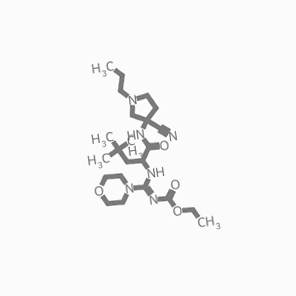 CCCN1CCC(C#N)(NC(=O)C(CC(C)(C)C)N/C(=N\C(=O)OCC)N2CCOCC2)C1